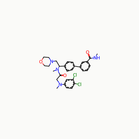 CNC(=O)c1cccc(-c2ccc(C(CN3CCOCC3)N(C)C(=O)CN(C)c3ccc(Cl)c(Cl)c3)cc2)c1